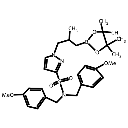 COc1ccc(CN(Cc2ccc(OC)cc2)S(=O)(=O)c2ccn(CC(C)CB3OC(C)(C)C(C)(C)O3)n2)cc1